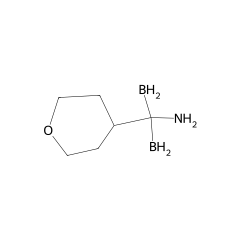 BC(B)(N)C1CCOCC1